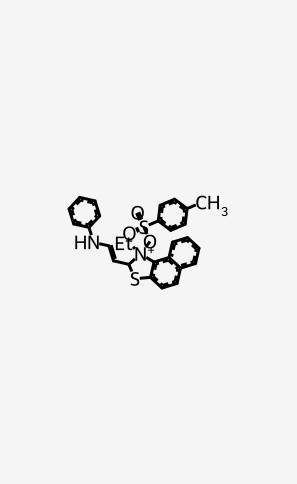 CC[N+]1(OS(=O)(=O)c2ccc(C)cc2)c2c(ccc3ccccc23)SC1C=CNc1ccccc1